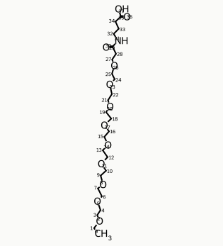 CCOCCOCCOCCOCCOCCOCCOCCOCCOCCC(=O)NCCCC(=O)O